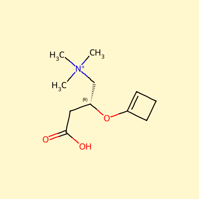 C[N+](C)(C)C[C@@H](CC(=O)O)OC1=CCC1